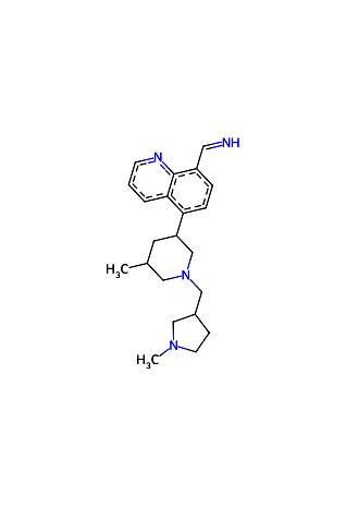 CC1CC(c2ccc(C=N)c3ncccc23)CN(CC2CCN(C)C2)C1